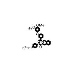 CCCCCc1ccc(NC(=O)[C@@H]2Cc3ccccc3CN2C(=O)c2cccc(Oc3ccc(OC)c(OC(C)C)c3)c2)cc1